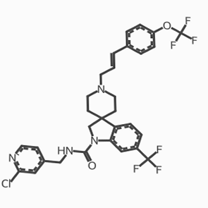 O=C(NCc1ccnc(Cl)c1)N1CC2(CCN(C/C=C/c3ccc(OC(F)(F)F)cc3)CC2)c2ccc(C(F)(F)F)cc21